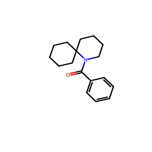 O=C(c1ccccc1)N1CCCCC12CCCCC2